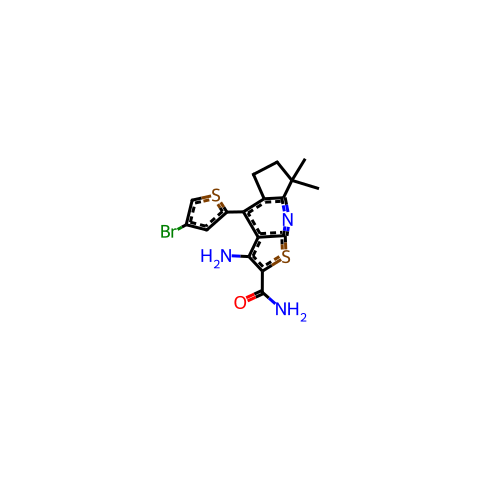 CC1(C)CCc2c1nc1sc(C(N)=O)c(N)c1c2-c1cc(Br)cs1